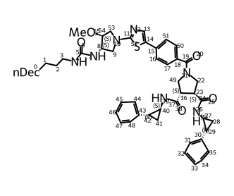 CCCCCCCCCCCCCNC(=O)N[C@H]1CN(c2ncc(-c3ccc(C(=O)N4C[C@@H](C(=O)N[C@H]5C[C@@H]5c5ccccc5)[C@H](C(=O)N[C@H]5C[C@@H]5c5ccccc5)C4)cc3)s2)C[C@@H]1OC